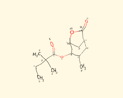 CCC(C)(C)C(=O)OC1C(C)CC2CC1OC2=O